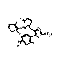 CCOC(=O)c1nc(-c2ccc(=O)n(-c3c(F)cccc3F)c2)c(-c2ccc(F)cc2F)s1